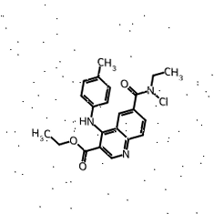 CCOC(=O)c1cnc2ccc(C(=O)N(Cl)CC)cc2c1Nc1ccc(C)cc1